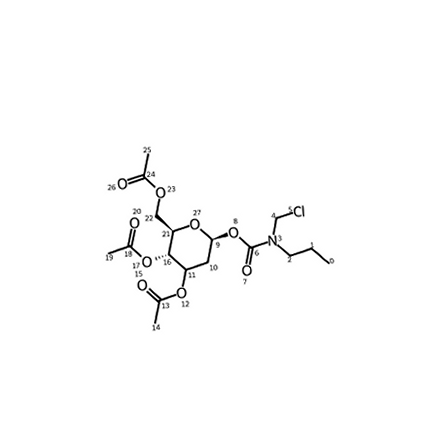 CCCN(CCl)C(=O)O[C@H]1CC(OC(C)=O)[C@H](OC(C)=O)[C@@H](COC(C)=O)O1